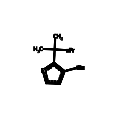 CCCC(C)(C)c1sccc1C(C)(C)C